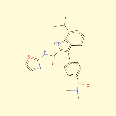 CC(C)c1cccc2c(-c3ccc([S+]([O-])N(C)C)cc3)c(C(=O)Nc3ncco3)[nH]c12